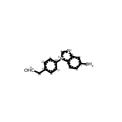 Bc1ccc2c(c1)ncn2-c1ccc(CC=O)cc1